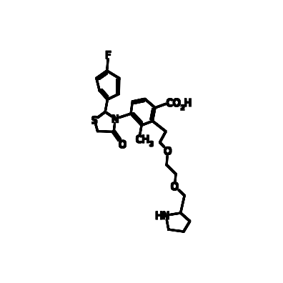 Cc1c(N2C(=O)CSC2c2ccc(F)cc2)ccc(C(=O)O)c1CCOCCOCC1CCCN1